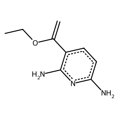 C=C(OCC)c1ccc(N)nc1N